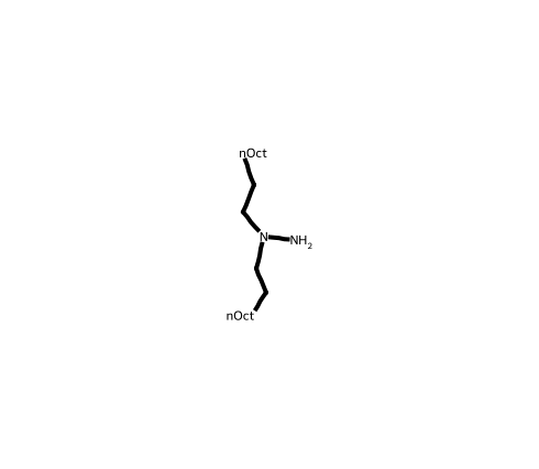 CCCCCCCCCCN(N)CCCCCCCCCC